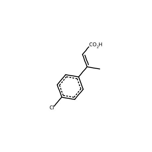 CC(=CC(=O)O)c1ccc(Cl)cc1